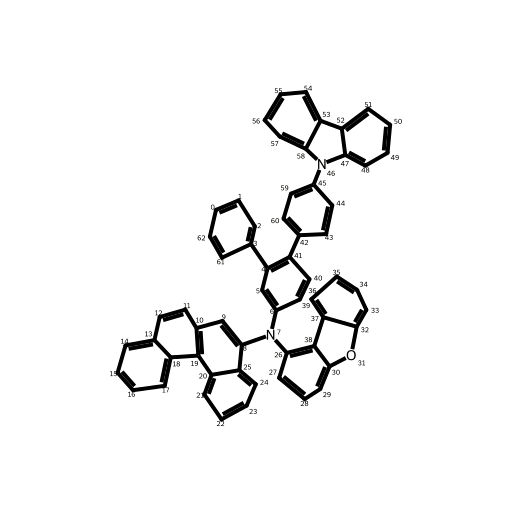 c1ccc(-c2cc(N(c3cc4ccc5ccccc5c4c4ccccc34)c3cccc4oc5ccccc5c34)ccc2-c2ccc(-n3c4ccccc4c4ccccc43)cc2)cc1